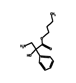 CCCCOC(=O)C(O)(CN)c1ccccc1